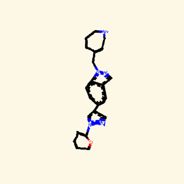 c1cc2c(cnn2CC2CCCNCC2)cc1-c1cnn(C2CCCCO2)c1